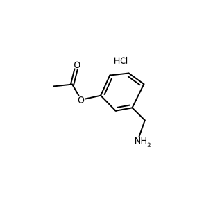 CC(=O)Oc1cccc(CN)c1.Cl